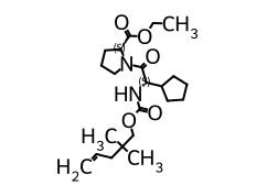 C=CCC(C)(C)COC(=O)N[C@H](C(=O)N1CCC[C@H]1C(=O)OCC)C1CCCC1